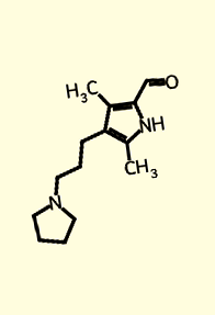 Cc1[nH]c(C=O)c(C)c1CCCN1CCCC1